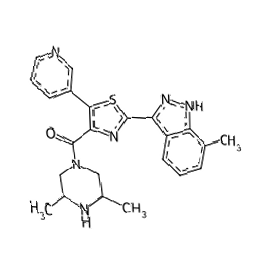 Cc1cccc2c(-c3nc(C(=O)N4CC(C)NC(C)C4)c(-c4cccnc4)s3)n[nH]c12